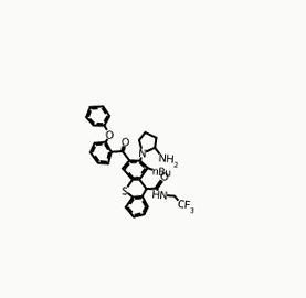 CCCCc1c2c(cc(C(=O)c3ccccc3Oc3ccccc3)c1N1CCCC1N)Sc1ccccc1C2C(=O)NCC(F)(F)F